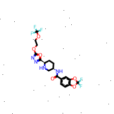 O=C(N[C@H]1CC[C@H](c2nnc(OCCOC(F)(F)F)o2)NC1)c1ccc2c(c1)OC(F)(F)O2